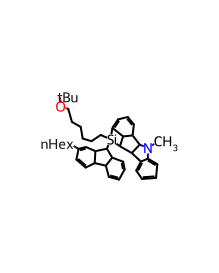 CCCCCCC1=CC2C(C=C1)C1C=CC=CC1C2[Si]1(CCCCCCOC(C)(C)C)C2=CC=CC3C2C1C1c2ccccc2N(C)C31